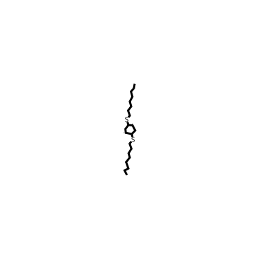 CCCCCCCCSC1[CH]CC(SCCCCCCCC)[CH]C1